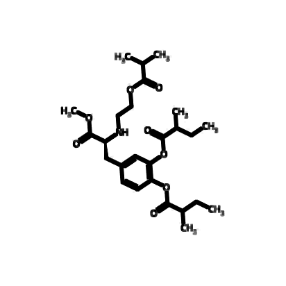 CCC(C)C(=O)Oc1ccc(C[C@H](NCCOC(=O)C(C)C)C(=O)OC)cc1OC(=O)C(C)CC